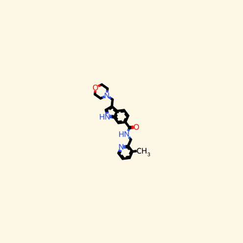 Cc1cccnc1CNC(=O)c1ccc2c(CN3CCOCC3)c[nH]c2c1